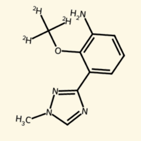 [2H]C([2H])([2H])Oc1c(N)cccc1-c1ncn(C)n1